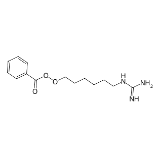 N=C(N)NCCCCCCOOC(=O)c1ccccc1